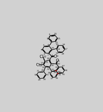 O=C(c1cccc(-c2ccccc2)c1-c1ccccc1)c1c(Cl)c(Cl)c(-c2ccccc2)c(-c2ccccc2)c1C(=O)c1ccccc1